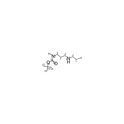 CCCNCCCN(C)C(=O)OC(C)(C)C